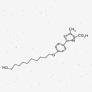 Cc1sc(-c2ccc(OCCCCCCCCCCO)cc2)nc1C(=O)O